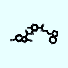 CCc1nc2cc(Br)ccn2c1C(=O)Nc1cc(C(=O)NCCN2CCCC23CCOCC3)cnc1C